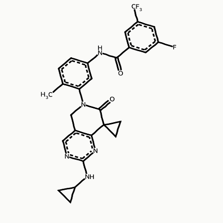 Cc1ccc(NC(=O)c2cc(F)cc(C(F)(F)F)c2)cc1N1Cc2cnc(NC3CC3)nc2C2(CC2)C1=O